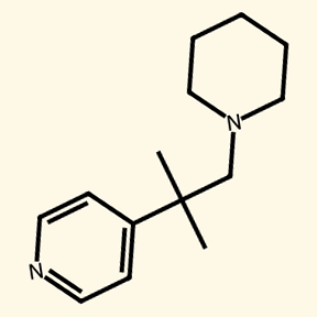 CC(C)(CN1CCCCC1)c1ccncc1